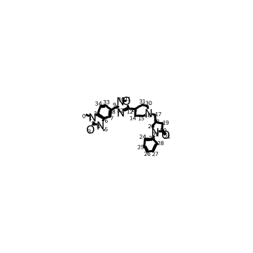 Cn1c(=O)n(C)c2cc(-c3noc(C4CCN(CC5CC(=O)N(c6ccccc6)C5)CC4)n3)ccc21